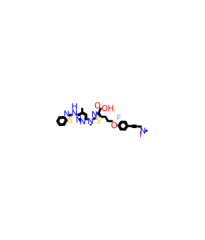 Cc1cc(N(C)c2nc(C(=O)O)c(CCCOc3ccc(C#CCN(C)I)cc3F)s2)nnc1Nc1nc2ccccc2s1